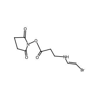 O=C(CCNC=CBr)ON1C(=O)CCC1=O